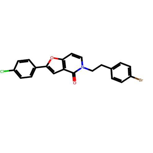 O=c1c2cc(-c3ccc(Cl)cc3)oc2ccn1CCc1ccc(Br)cc1